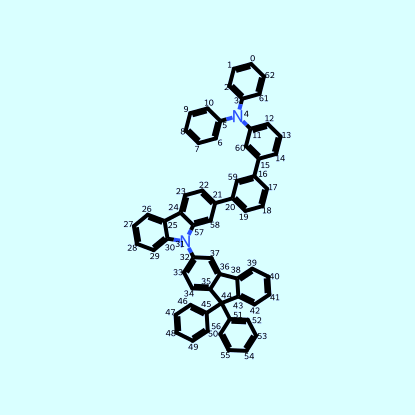 c1ccc(N(c2ccccc2)c2cccc(-c3cccc(-c4ccc5c6ccccc6n(-c6ccc7c(c6)-c6ccccc6C7(c6ccccc6)c6ccccc6)c5c4)c3)c2)cc1